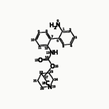 Nc1ccccc1-c1ccccc1NC(=O)OC1CN2CCC1CC2